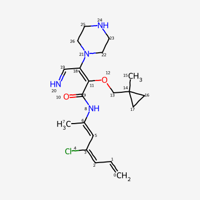 C=C/C=C(Cl)\C=C(/C)NC(=O)/C(OCC1(C)CC1)=C(\C=N)N1CCNCC1